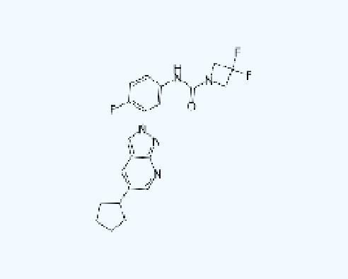 O=C(Nc1ccc(F)c(-n2cc3cc(C4CCCC4)cnc3n2)c1)N1CC(F)(F)C1